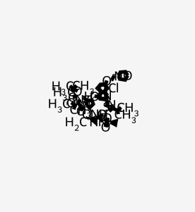 C=C[C@@H]1C[C@]1(NC(=O)[C@@H]1C[C@@H](Oc2cc(-c3nc(C(C)C)cs3)nc3c(Cl)c(OCCN4CCOCC4)ccc23)[C@H]2CN(C(=O)OC(C)(C)C)[C@H](C(C)OC)C(=O)N21)C(=O)NS(=O)(=O)C1CC1